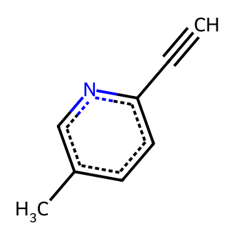 C#Cc1ccc(C)cn1